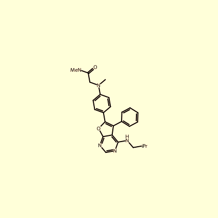 CNC(=O)CN(C)c1ccc(-c2oc3ncnc(NCC(C)C)c3c2-c2ccccc2)cc1